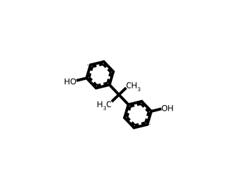 CC(C)(c1cc[c]c(O)c1)c1cc[c]c(O)c1